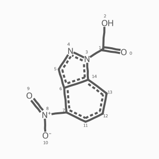 O=C(O)n1ncc2c([N+](=O)[O-])cccc21